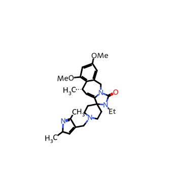 CCN1C(=O)N2Cc3cc(OC)cc(OC)c3[C@@H](C)C=C2C12CCN(CC1=CC(C)N=C1C)CC2